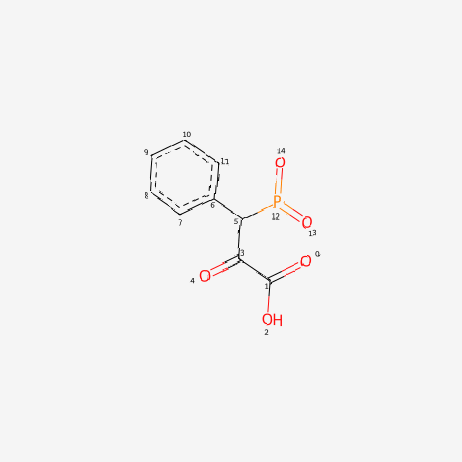 O=C(O)C(=O)C(c1ccccc1)P(=O)=O